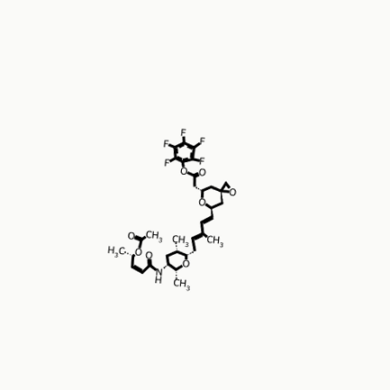 CC(=O)O[C@@H](C)/C=C\C(=O)N[C@@H]1C[C@H](C)[C@H](C/C=C(C)/C=C/[C@@H]2C[C@]3(CO3)C[C@@H](CC(=O)Oc3c(F)c(F)c(F)c(F)c3F)O2)O[C@@H]1C